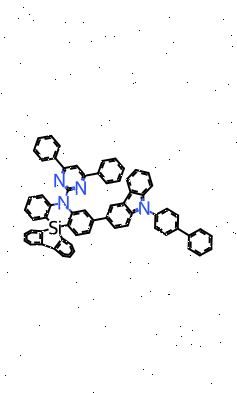 c1ccc(-c2ccc(-n3c4ccccc4c4cc(-c5ccc6c(c5)N(c5nc(-c7ccccc7)cc(-c7ccccc7)n5)c5ccccc5[Si]65c6ccccc6-c6ccccc65)ccc43)cc2)cc1